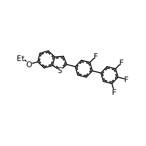 CCOc1ccc2cc(-c3ccc(-c4cc(F)c(F)c(F)c4)c(F)c3)sc2c1